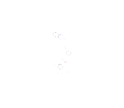 CCOCCn1c(NC2CCN(CCC3(c4ccccc4)CCCN(C(=O)c4cc(OC)c(OC)c(OC)c4)C3)CC2)nc2ccccc21